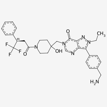 CCn1nc2c(=O)n(CC3(O)CCN(C(=O)C[C@H](c4ccccc4)C(F)(F)F)CC3)cnc2c1-c1ccc(CN)cc1